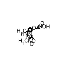 CCN1C(=O)OCc2cnc(N[C@@H](C)c3ccc(OCC4CN(C(=O)O)C4)cc3)nc21